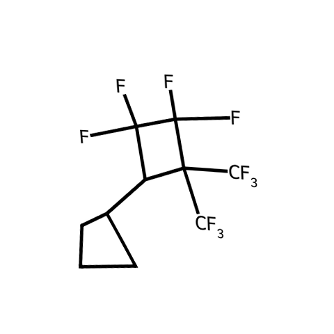 FC(F)(F)C1(C(F)(F)F)C(C2CCC2)C(F)(F)C1(F)F